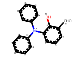 O=Cc1cccc(N(c2ccccc2)c2ccccc2)c1O